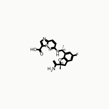 C=C(N)[C@@]1(C)Cc2cc(F)cc([C@@H](C)Nc3ccc4ncc(C(=O)O)n4n3)c2O1